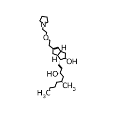 CCCC[C@H](C)C[C@H](O)/C=C/[C@@H]1[C@H]2CC(CCOCCN3CCCC3)=C[C@H]2C[C@H]1O